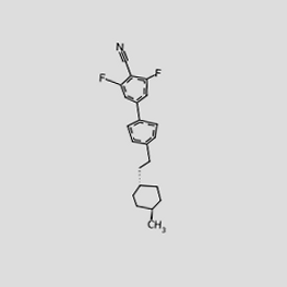 C[C@H]1CC[C@H](CCc2ccc(-c3cc(F)c(C#N)c(F)c3)cc2)CC1